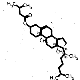 CC(C)CCC[C@@H](C)[C@H]1CCC2C3CC=C4CC(OC(=O)CC(C)C)CC[C@]4(C)C3CC[C@@]21C